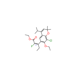 CCOC(=O)/C(F)=C(/CC)c1cc2c(c(Cl)c1OCC)OC(C)(C)C=C2C(C)C